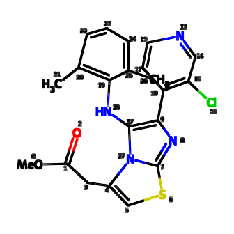 COC(=O)Cc1csc2nc(-c3ccncc3Cl)c(Nc3c(C)cccc3C)n12